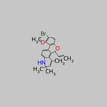 CC=CC1Oc2ccc(Br)c(OC)c2-c2ccc3c(c21)C(C)=CC(C)(C)N3